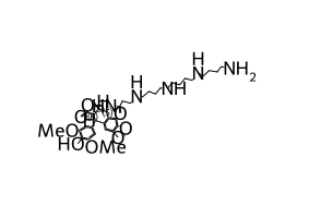 COc1cc(C2c3cc4c(cc3[C@@H](NC(=O)CCNCCCCNCCCCNCCCCN)[C@H]3COC(=O)[C@H]23)OCO4)cc(OC)c1O